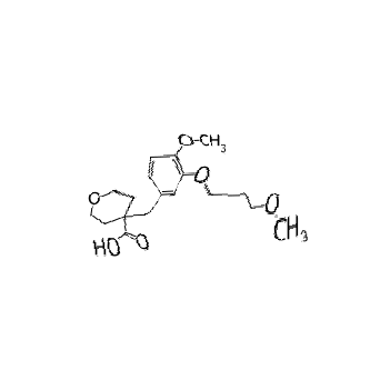 COCCCOc1cc(CC2(C(=O)O)CCOCC2)ccc1OC